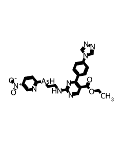 CCOC(=O)c1cnc(NCC[AsH]c2ccc([N+](=O)[O-])cn2)nc1-c1ccc(-n2cnnc2)cc1